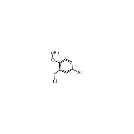 CCCCOc1ccc(C(C)=O)cc1CCl